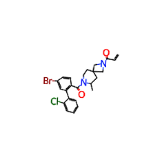 C=CC(=O)N1CC2(CCN(C(=O)c3ccc(Br)cc3-c3ccccc3Cl)C(C)C2)C1